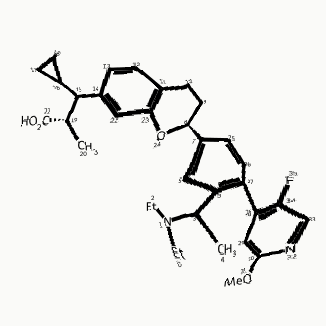 CCN(CC)C(C)c1cc([C@@H]2CCc3ccc(C(C4CC4)[C@H](C)C(=O)O)cc3O2)ccc1-c1cc(OC)ncc1F